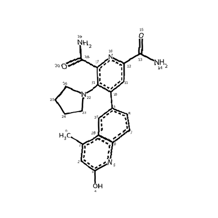 Cc1cc(O)nc2ccc(-c3cc(C(N)=O)nc(C(N)=O)c3N3CCCC3)cc12